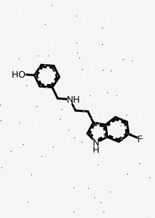 Oc1cccc(CNCCc2c[nH]c3cc(F)ccc23)c1